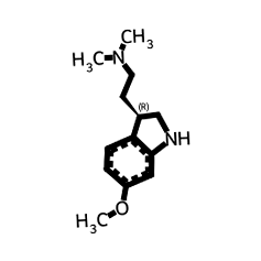 COc1ccc2c(c1)NC[C@@H]2CCN(C)C